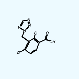 O=C(O)c1ccc(Cl)c(Cn2ncnn2)c1Cl